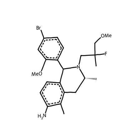 COCC(C)(F)CN1C(c2ccc(Br)cc2OC)c2ccc(N)c(C)c2C[C@H]1C